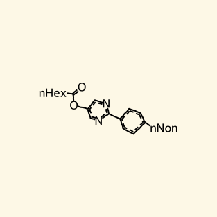 CCCCCCCCCc1ccc(-c2ncc(OC(=O)CCCCCC)cn2)cc1